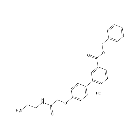 Cl.NCCNC(=O)COc1ccc(-c2cccc(C(=O)OCc3ccccc3)c2)cc1